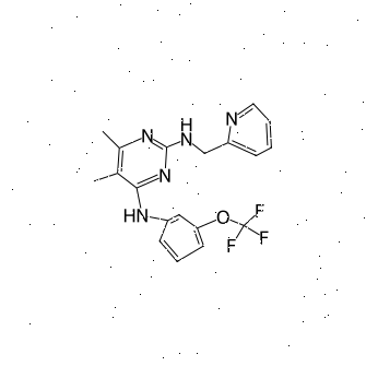 Cc1nc(NCc2ccccn2)nc(Nc2cccc(OC(F)(F)F)c2)c1C